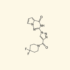 O=C(c1cn(-c2nn3cccc3c(=O)[nH]2)nn1)N1CCC(F)(F)CC1